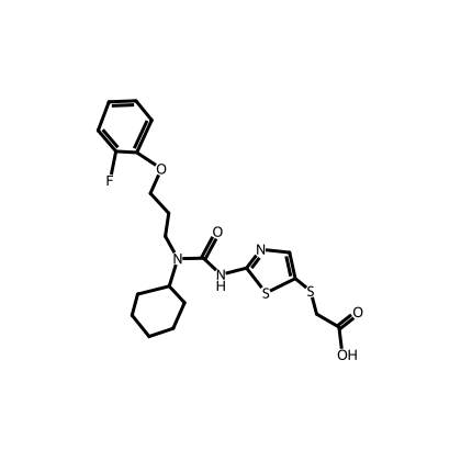 O=C(O)CSc1cnc(NC(=O)N(CCCOc2ccccc2F)C2CCCCC2)s1